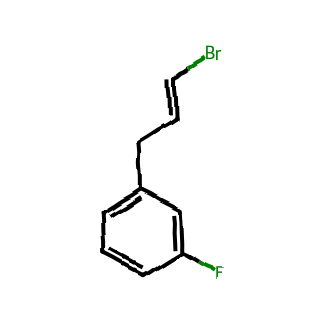 Fc1cccc(C/C=C/Br)c1